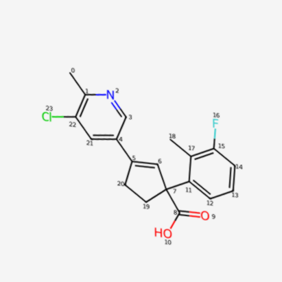 Cc1ncc(C2=CC(C(=O)O)(c3cccc(F)c3C)CC2)cc1Cl